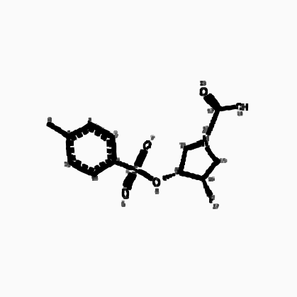 Cc1ccc(S(=O)(=O)O[C@@H]2CN(C(=O)O)C[C@H]2F)cc1